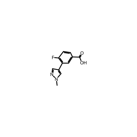 Cn1cc(-c2cc(C(=O)O)ccc2F)cn1